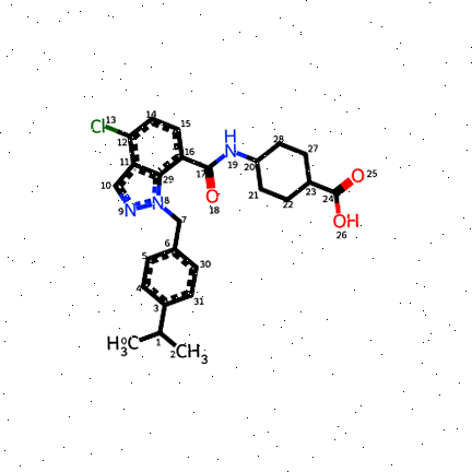 CC(C)c1ccc(Cn2ncc3c(Cl)ccc(C(=O)NC4CCC(C(=O)O)CC4)c32)cc1